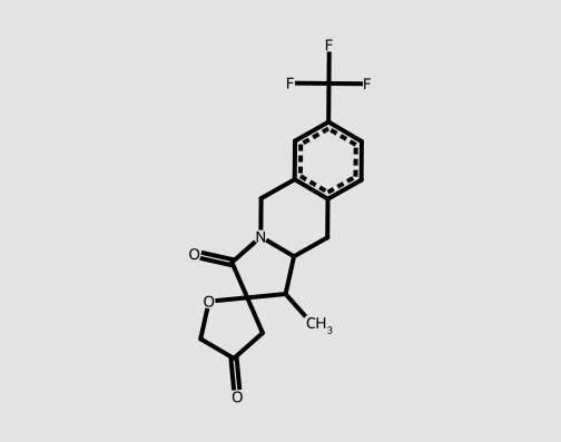 CC1C2Cc3ccc(C(F)(F)F)cc3CN2C(=O)C12CC(=O)CO2